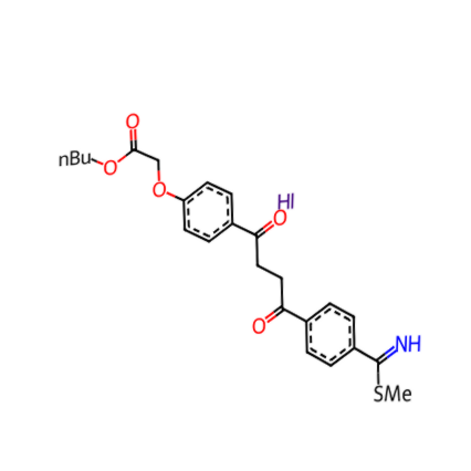 CCCCOC(=O)COc1ccc(C(=O)CCC(=O)c2ccc(C(=N)SC)cc2)cc1.I